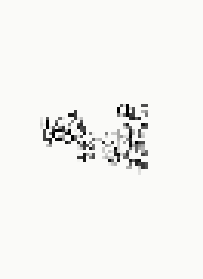 CC(C)(C)OC(=O)NC1CCC(NC(=O)c2cc(F)cnc2Oc2ccc(F)c(Cl)c2)CC1